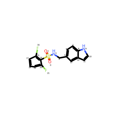 O=S(=O)(NCc1ccc2[nH]ccc2c1)c1c(F)cccc1F